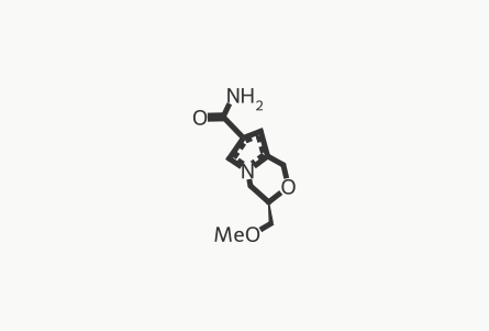 COC[C@H]1Cn2cc(C(N)=O)cc2CO1